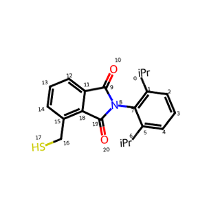 CC(C)c1cccc(C(C)C)c1N1C(=O)c2cccc(CS)c2C1=O